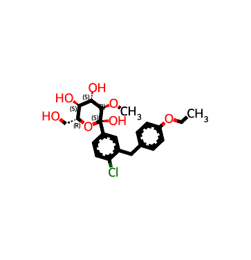 CCOc1ccc(Cc2cc([C@]3(O)O[C@H](CO)[C@@H](O)[C@H](O)[C@H]3OC)ccc2Cl)cc1